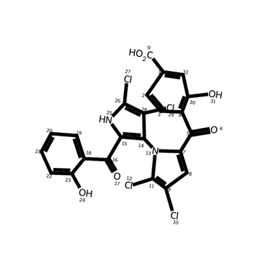 O=C(O)c1ccc(C(=O)c2cc(Cl)c(Cl)n2-c2c(C(=O)c3ccccc3O)[nH]c(Cl)c2Cl)c(O)c1